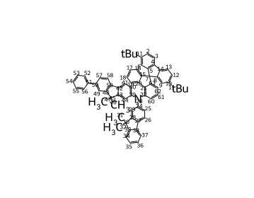 CC(C)(C)c1ccc2c(c1)C1(c3cc(C(C)(C)C)ccc3-2)c2ccccc2-c2c(N(c3ccc4c(c3)C(C)(C)c3ccccc3-4)c3ccc4c(c3)C(C)(C)c3cc(-c5ccccc5)ccc3-4)cccc21